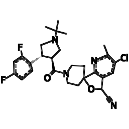 Cc1nc2c(cc1Cl)C(C#N)OC21CCN(C(=O)[C@@H]2CN(C(C)(C)C)C[C@H]2c2ccc(F)cc2F)CC1